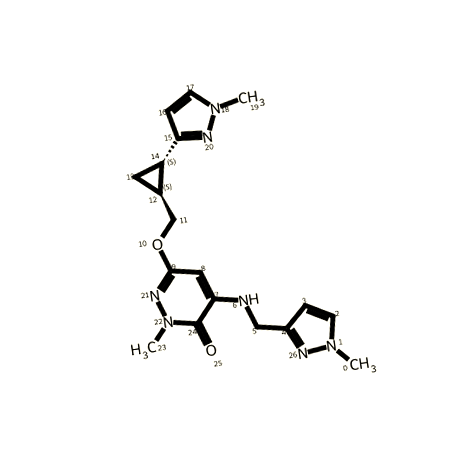 Cn1ccc(CNc2cc(OC[C@H]3C[C@@H]3c3ccn(C)n3)nn(C)c2=O)n1